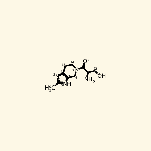 Cc1nc2c([nH]1)CN(C(=O)C(N)CO)CC2